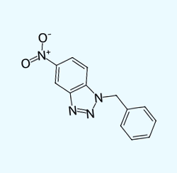 O=[N+]([O-])c1ccc2c(c1)nnn2Cc1ccccc1